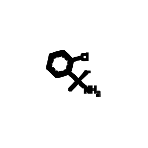 [CH2][C@](C)(N)c1ccccc1Cl